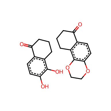 O=C1CCCc2c1ccc(O)c2O.O=C1CCCc2c1ccc1c2OCCO1